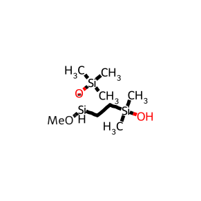 CO[SiH](CC[Si](C)(C)O)O[Si](C)(C)C